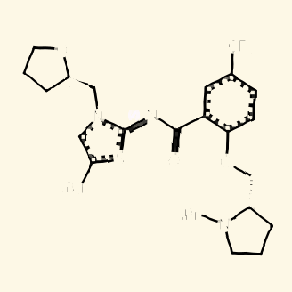 CC(C)N1CCC[C@H]1COc1ccc(C(F)(F)F)cc1C(=O)/N=c1\sc(C(C)(C)C)cn1C[C@H]1CCCO1